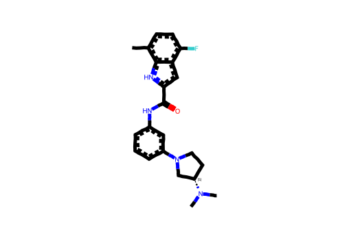 Cc1ccc(F)c2cc(C(=O)Nc3cccc(N4CC[C@H](N(C)C)C4)c3)[nH]c12